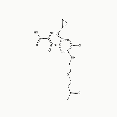 CC(=O)CCOCCNc1cc2c(=O)c(C(=O)O)cn(C3CC3)c2cc1Cl